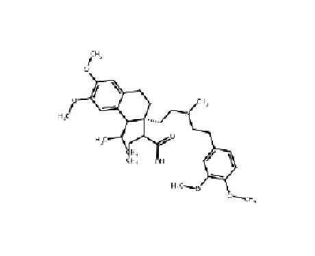 CCC(C(=O)O)[C@]1(CCN(C)CCc2ccc(OC)c(OC)c2)CCc2cc(OC)c(OC)cc2[C@@H]1C(C)C